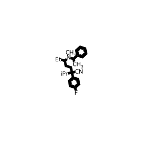 CCC(CCC(C#N)(c1ccc(F)cc1)C(C)C)N(C)C(C)c1ccccc1